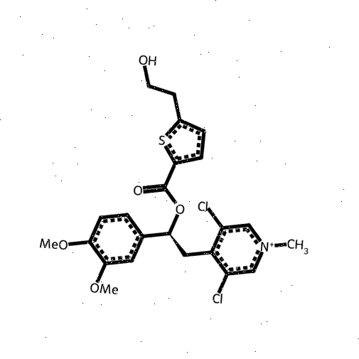 COc1ccc([C@H](Cc2c(Cl)c[n+](C)cc2Cl)OC(=O)c2ccc(CCO)s2)cc1OC